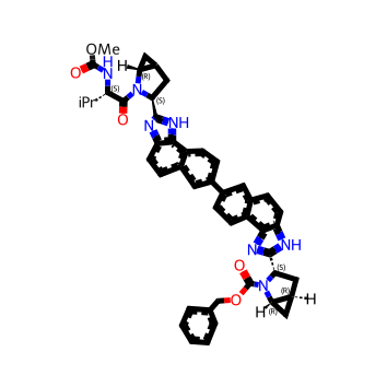 COC(=O)N[C@H](C(=O)N1[C@@H]2CC2C[C@H]1c1nc2ccc3cc(-c4ccc5c(ccc6[nH]c([C@@H]7C[C@H]8C[C@H]8N7C(=O)OCc7ccccc7)nc65)c4)ccc3c2[nH]1)C(C)C